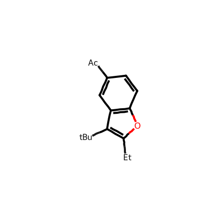 CCc1oc2ccc(C(C)=O)cc2c1C(C)(C)C